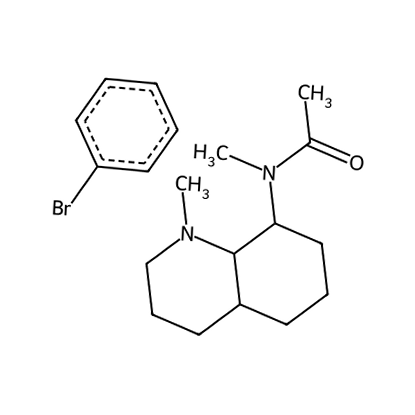 Brc1ccccc1.CC(=O)N(C)C1CCCC2CCCN(C)C21